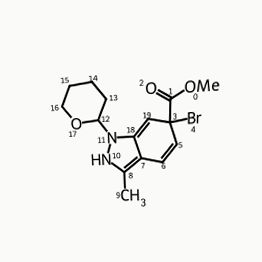 COC(=O)C1(Br)C=CC2=C(C)NN(C3CCCCO3)C2=C1